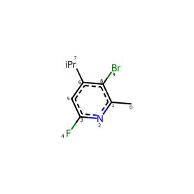 Cc1nc(F)cc(C(C)C)c1Br